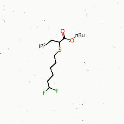 CCCCOC(=O)C(CC(C)C)SCCCCCC(F)F